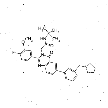 COc1cc(-c2nc3ccc(-c4cccc(CN5CCCC5)c4)cc3c(=O)n2CC(=O)NC(C)(C)C)ccc1F